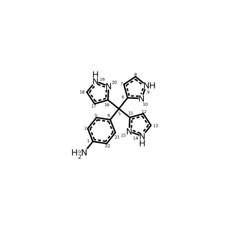 Nc1ccc(C(c2cc[nH]n2)(c2cc[nH]n2)c2cc[nH]n2)cc1